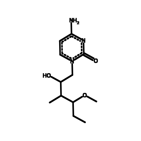 CCC(OC)C(C)C(O)Cn1ccc(N)nc1=O